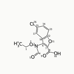 CCON(C=O)c1c(C(=O)O)oc2ccc(Cl)cc12